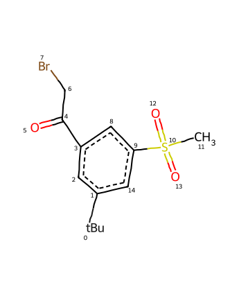 CC(C)(C)c1cc(C(=O)CBr)cc(S(C)(=O)=O)c1